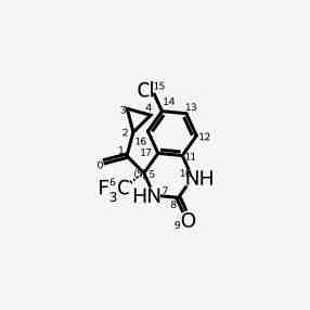 C=C(C1CC1)[C@]1(C(F)(F)F)NC(=O)Nc2ccc(Cl)cc21